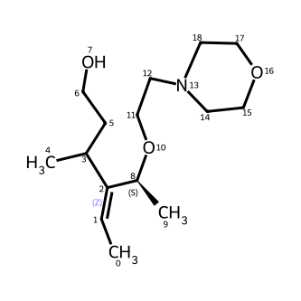 C/C=C(/C(C)CCO)[C@H](C)OCCN1CCOCC1